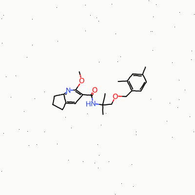 COc1nc2c(cc1C(=O)NC(C)(C)COCc1ccc(C)cc1C)CCC2